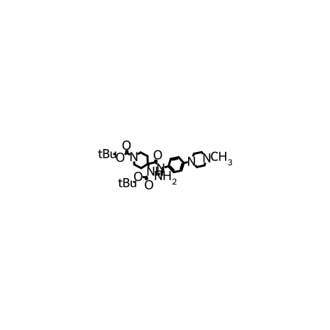 CN1CCN(c2ccc(N(N)C(=O)C3(NC(=O)OC(C)(C)C)CCN(C(=O)OC(C)(C)C)CC3)cc2)CC1